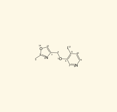 Cc1nc(COc2cnccc2I)co1